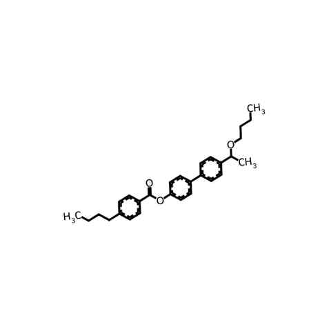 CCCCOC(C)c1ccc(-c2ccc(OC(=O)c3ccc(CCCC)cc3)cc2)cc1